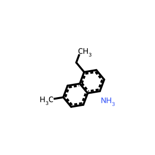 CCc1cccc2ccc(C)cc12.N